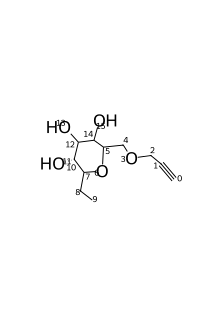 C#CCOCC1OC(CC)[C@H](O)C(O)C1O